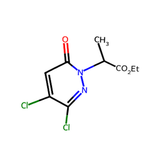 CCOC(=O)C(C)n1nc(Cl)c(Cl)cc1=O